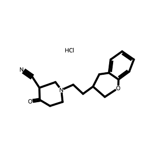 Cl.N#CC1CN(CCC2COc3ccccc3C2)CCC1=O